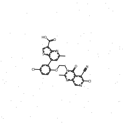 Cc1cc(-c2cc(Cl)ccc2OCCn2c(C)nc3cnc(Cl)c(C#N)c3c2=O)c2scc(C(=O)O)c2n1